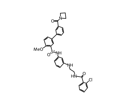 COc1ccc(-c2cccc(C(=O)N3CCC3)c2)cc1[S+]([O-])Nc1cccc(NCCNC(=O)c2ccccc2Cl)c1